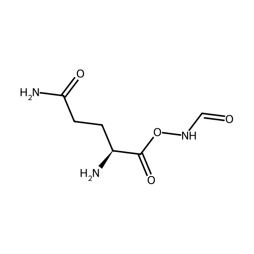 NC(=O)CC[C@H](N)C(=O)ONC=O